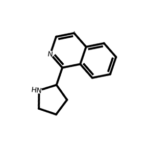 [c]1cnc(C2CCCN2)c2ccccc12